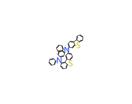 c1ccc(N(c2ccc3c(c2)sc2ccccc23)c2ccc3sc4cccc(N(c5ccccc5)c5ccccc5)c4c3c2)cc1